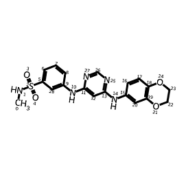 CNS(=O)(=O)c1cccc(Nc2cc(Nc3ccc4c(c3)OCCO4)ncn2)c1